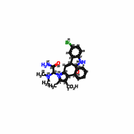 Cc1c(C(=O)O)c(-c2ccccc2)c(C=C2C(=O)Nc3ccc(Br)cc32)n1C(C(N)=O)N(C)C